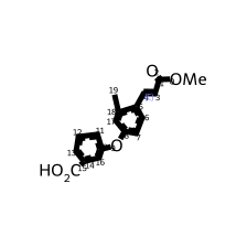 COC(=O)/C=C/c1ccc(Oc2cccc(C(=O)O)c2)cc1C